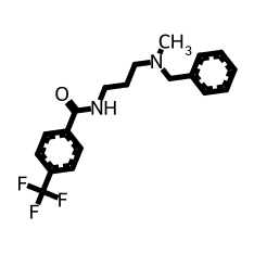 CN(CCCNC(=O)c1ccc(C(F)(F)F)cc1)Cc1ccccc1